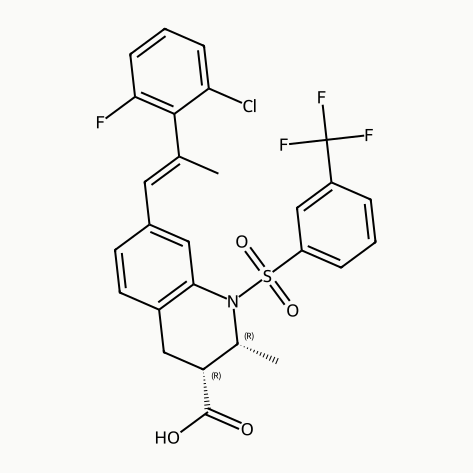 CC(=Cc1ccc2c(c1)N(S(=O)(=O)c1cccc(C(F)(F)F)c1)[C@H](C)[C@H](C(=O)O)C2)c1c(F)cccc1Cl